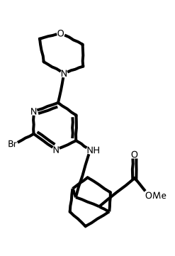 COC(=O)C1C2CCC(CC2)C1Nc1cc(N2CCOCC2)nc(Br)n1